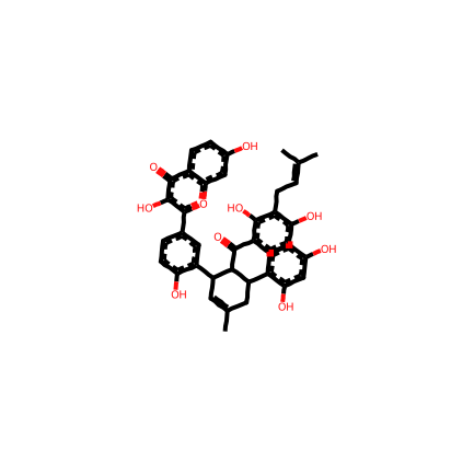 CC(C)=CCc1c(O)ccc(C(=O)C2C(c3cc(-c4oc5cc(O)ccc5c(=O)c4O)ccc3O)C=C(C)CC2c2ccc(O)cc2O)c1O